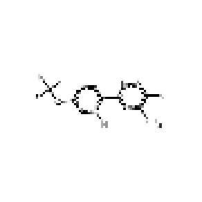 [2H]c1cc(OC(F)(F)F)ccc1-c1cc(C)c(Cl)nn1